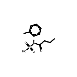 CCCC(=O)NS(=O)(=O)O.Cc1ccccc1